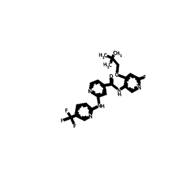 CC(C)(C)COc1cc(F)ncc1NC(=O)c1ccnc(Nc2ccc(C(F)(F)F)cn2)c1